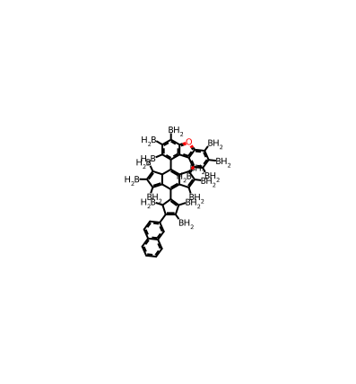 BC1=C(B)C(B)C2=C(c3c(B)c(B)c(B)c4oc5c(B)c(B)c(B)c(B)c5c34)C3C(B)=C(B)C(B)=C3C(C3=C(B)C(B)=C(c4ccc5ccccc5c4)C3B)=C12